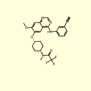 C#Cc1cccc(Nc2ncnc3cc(OC)c(O[C@H]4CC[C@H](N(C)C(=O)C(F)(F)F)CC4)cc23)c1